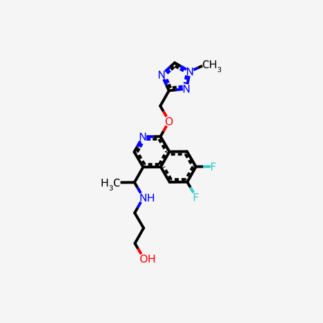 CC(NCCCO)c1cnc(OCc2ncn(C)n2)c2cc(F)c(F)cc12